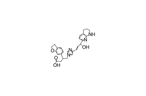 O=C(O)CC(Cn1cnc(C=CC(O)c2ccc3c(n2)NCCC3)c1)c1ccc2c(c1)OCC2